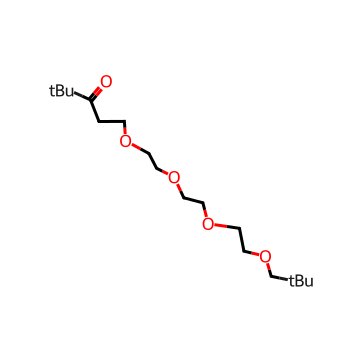 CC(C)(C)COCCOCCOCCOCCC(=O)C(C)(C)C